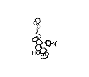 CN(C)c1ccc([C@H]2C[C@@]34O[C@]3(CCCOC3CCCCO3)CCC4C3CC[C@@]4(O)CC5(CCC4=C32)OCCO5)cc1